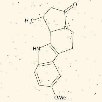 COc1ccc2[nH]c3c(c2c1)CCN1C(=O)CC(C)C31